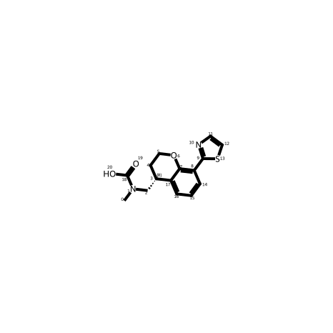 CN(C[C@@H]1CCOc2c(-c3nccs3)cccc21)C(=O)O